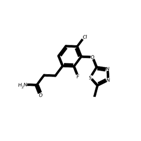 Cc1nnc(Oc2c(Cl)ccc([CH]CC(N)=O)c2F)s1